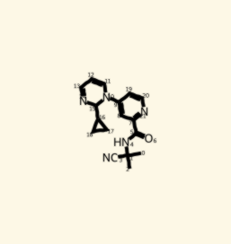 CC(C)(C#N)NC(=O)c1cc(N2C=CC=NC2C2CC2)ccn1